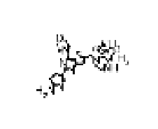 CC1NCCN(Cc2cc3nc(-c4ccc(N)nc4)nc(N4CCOCC4)c3s2)C1S(C)(=O)=O